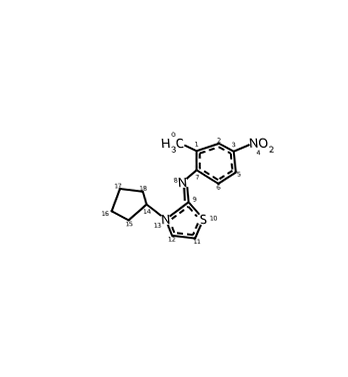 Cc1cc([N+](=O)[O-])ccc1N=c1sccn1C1CCCC1